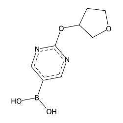 OB(O)c1cnc(OC2CCOC2)nc1